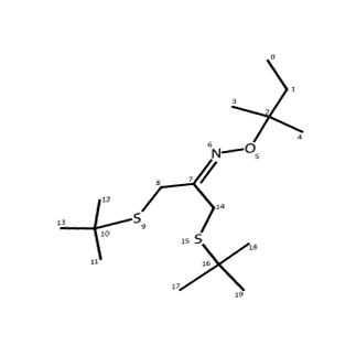 CCC(C)(C)ON=C(CSC(C)(C)C)CSC(C)(C)C